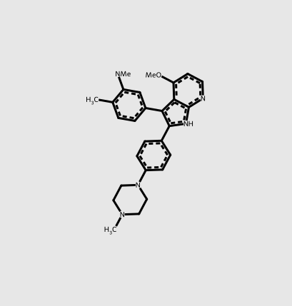 CNc1cc(-c2c(-c3ccc(N4CCN(C)CC4)cc3)[nH]c3nccc(OC)c23)ccc1C